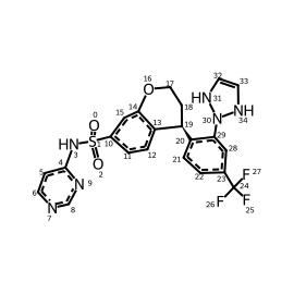 O=S(=O)(Nc1ccncn1)c1ccc2c(c1)OCC[C@H]2c1ccc(C(F)(F)F)cc1N1NC=CN1